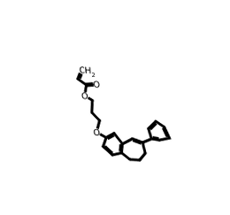 C=CC(=O)OCCCOc1ccc2c(c1)C=C(c1ccccc1)CCC2